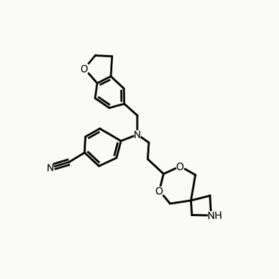 N#Cc1ccc(N(CCC2OCC3(CNC3)CO2)Cc2ccc3c(c2)CCO3)cc1